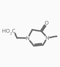 CN1C=CN(CC(=O)O)CC1=O